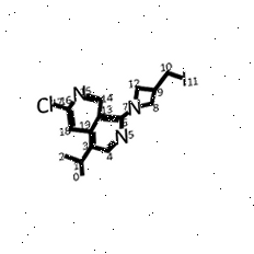 CC(C)c1cnc(N2CC(CI)C2)c2cnc(Cl)cc12